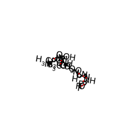 Cc1ncsc1-c1ccc(CNC(=O)[C@@H]2C[C@@H](O)CN2C(=O)C(NC(=O)COCCOCCNC(=O)c2cccc(-c3cc(Nc4ccc(OC(F)(F)F)cc4)ncn3)c2)C(C)(C)C)cc1